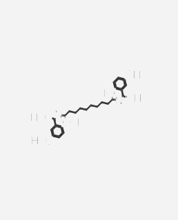 C/C(=N/CCCCCCCCCC/N=C(/C)c1cc(C)ccc1O)c1cc(C)ccc1O